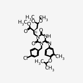 COC(=O)[C@@H](CC(OC)OC)Cn1c(=O)[nH]c(=Nc2ccc(OC(C)C)c(C)c2)n(Cc2ccc(Cl)cc2)c1=O